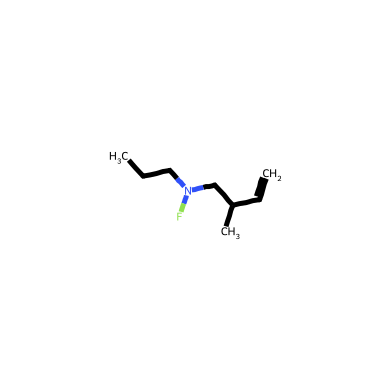 C=CC(C)CN(F)CCC